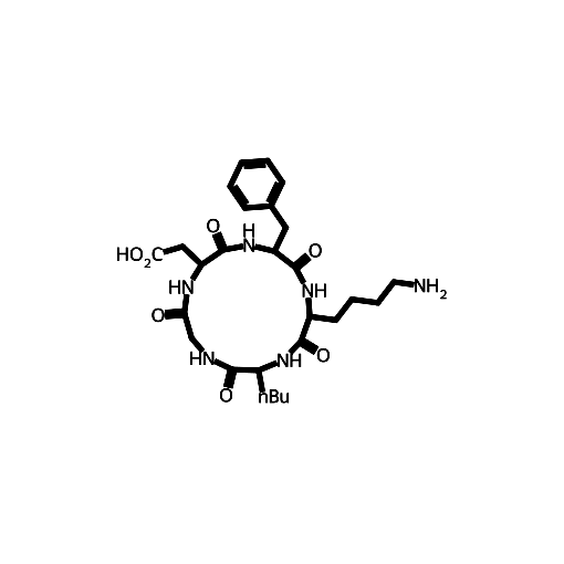 CCCCC1NC(=O)C(CCCCN)NC(=O)C(Cc2ccccc2)NC(=O)C(CC(=O)O)NC(=O)CNC1=O